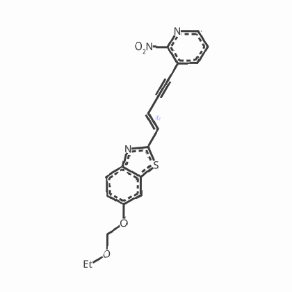 CCOCOc1ccc2nc(/C=C/C#Cc3cc[c]nc3[N+](=O)[O-])sc2c1